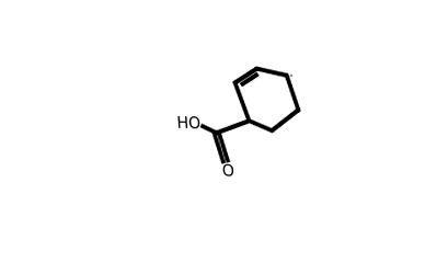 O=C(O)C1C=C[CH]CC1